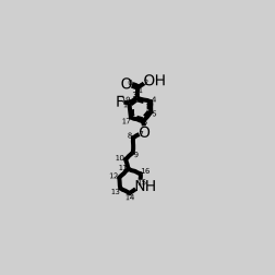 O=C(O)c1ccc(OCCCC2CCCNC2)cc1F